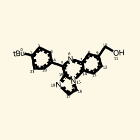 CC(C)(C)c1ccc(-c2nc3cc(CO)ccc3n3ccnc23)cc1